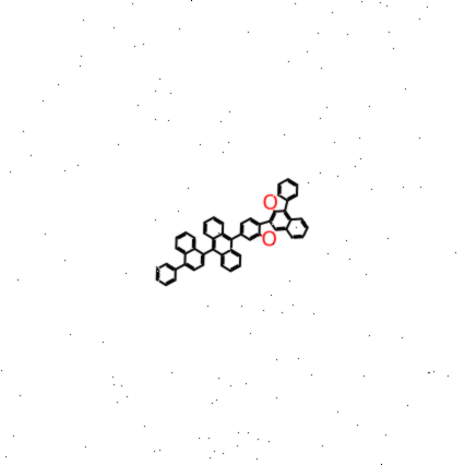 c1ccc(-c2ccc(-c3c4ccccc4c(-c4ccc5c(c4)oc4c6ccccc6c6c7ccccc7oc6c54)c4ccccc34)c3ccccc23)cc1